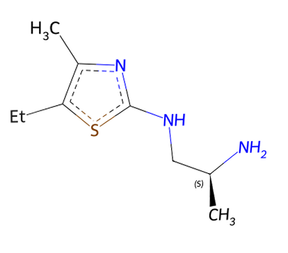 CCc1sc(NC[C@H](C)N)nc1C